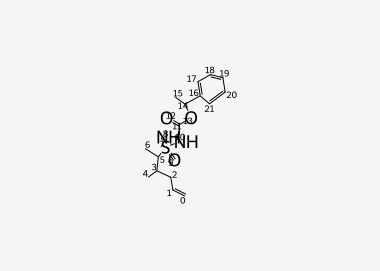 C=CCC(C)C(C)S(=N)(=O)NC(=O)OC(C)c1ccccc1